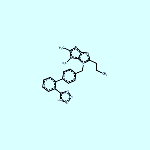 CCCc1nc2nc(C)n(C)c2n1Cc1ccc(-c2ccccc2-c2nnn[nH]2)cc1